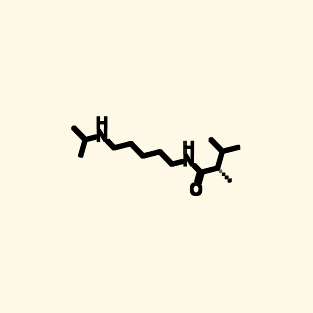 CC(C)NCCCCCNC(=O)[C@@H](C)C(C)C